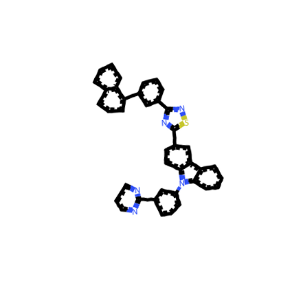 c1cnc(-c2cccc(-n3c4ccccc4c4cc(-c5nc(-c6cccc(-c7cccc8ccccc78)c6)ns5)ccc43)c2)nc1